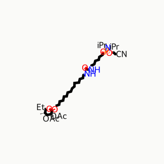 CC[C@H]1O[C@@H](OCCCCCCCCCCCCCCCNC(=O)NCCCCCCOP(OCCC#N)N(C(C)C)C(C)C)[C@H](OC(C)=O)[C@@H](OC(C)=O)[C@@H]1C